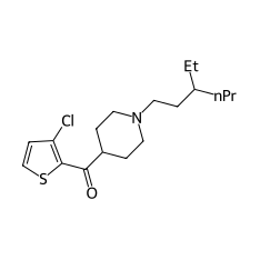 CCCC(CC)CCN1CCC(C(=O)c2sccc2Cl)CC1